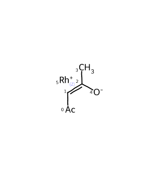 CC(=O)/C=C(/C)[O-].[Rh+]